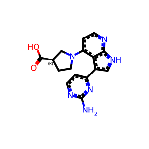 Nc1nccc(-c2c[nH]c3nccc(N4CC[C@@H](C(=O)O)C4)c23)n1